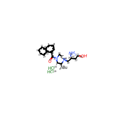 CCCC[C@H]1CN(C(=O)c2cccc3ccccc23)CCN1C[C@@H](N)CCO.Cl.Cl